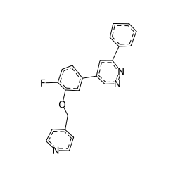 Fc1ccc(-c2cnnc(-c3ccccc3)c2)cc1OCc1ccncc1